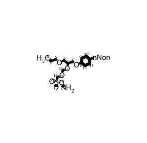 C=CCOCC(COc1ccc(CCCCCCCCC)cc1)OCOCS(=O)(=O)ON